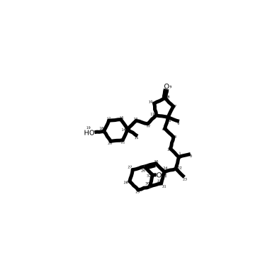 CC(CCCC1(C)CC(=O)CC1CCC1(C)CCC(O)CC1)C(C)C1C=C2CCCC(C1)C2O